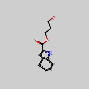 O=C(OCCCO)c1cc2ccccc2[nH]1